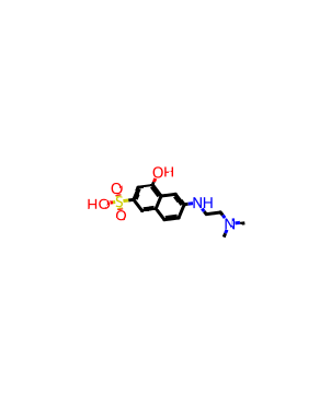 CN(C)CCNc1ccc2cc(S(=O)(=O)O)cc(O)c2c1